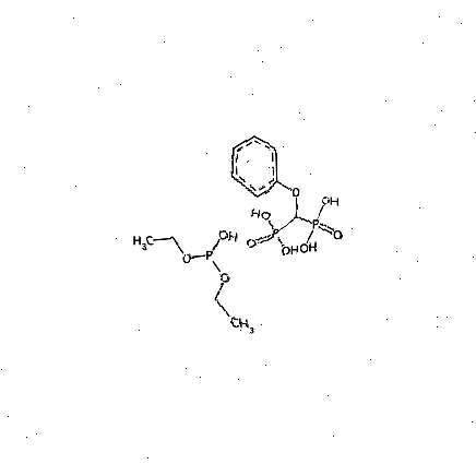 CCOP(O)OCC.O=P(O)(O)C(Oc1ccccc1)P(=O)(O)O